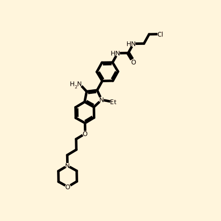 CCn1c(-c2ccc(NC(=O)NCCCl)cc2)c(N)c2ccc(OCCCN3CCOCC3)cc21